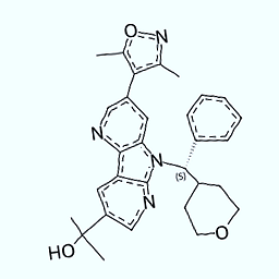 Cc1noc(C)c1-c1cnc2c3cc(C(C)(C)O)cnc3n([C@H](c3ccccc3)C3CCOCC3)c2c1